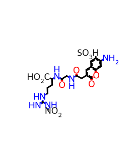 N=C(NCCCC(NC(=O)CNC(=O)Cc1cc2cc(S(=O)(=O)O)c(N)cc2oc1=O)C(=O)O)N[N+](=O)[O-]